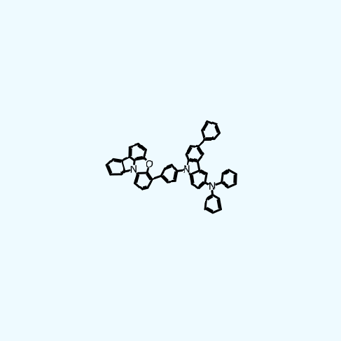 c1ccc(-c2ccc3c(c2)c2cc(N(c4ccccc4)c4ccccc4)ccc2n3-c2ccc(-c3cccc4c3Oc3cccc5c6ccccc6n-4c35)cc2)cc1